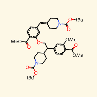 COC(=O)c1ccc(C(COc2cc(C=C3CCN(C(=O)OC(C)(C)C)CC3)ccc2C(=O)OC)C2CCN(C(=O)OC(C)(C)C)CC2)cc1OC